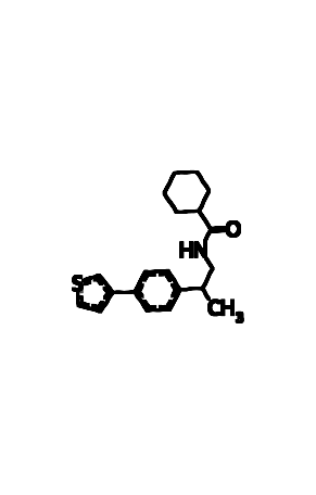 CC(CNC(=O)C1CCCCC1)c1ccc(-c2ccsc2)cc1